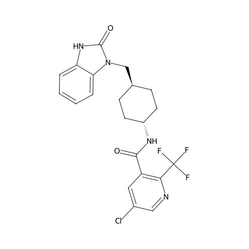 O=C(N[C@H]1CC[C@H](Cn2c(=O)[nH]c3ccccc32)CC1)c1cc(Cl)cnc1C(F)(F)F